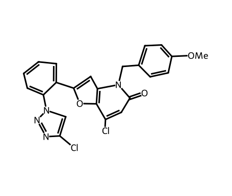 COc1ccc(Cn2c(=O)cc(Cl)c3oc(-c4ccccc4-n4cc(Cl)nn4)cc32)cc1